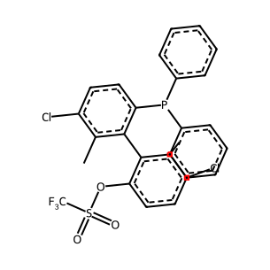 Cc1c(Cl)ccc(OS(=O)(=O)C(F)(F)F)c1-c1c(P(c2ccccc2)c2ccccc2)ccc(Cl)c1C